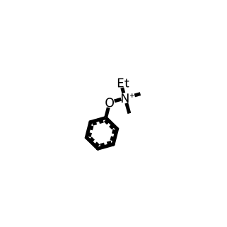 CC[N+](C)(C)Oc1ccccc1